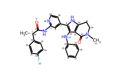 C[C@H](C(=O)Nc1cc(-c2[nH]c3c(c2Nc2ccccc2)C(=O)N(C)CC3)ccn1)c1ccc(F)cc1